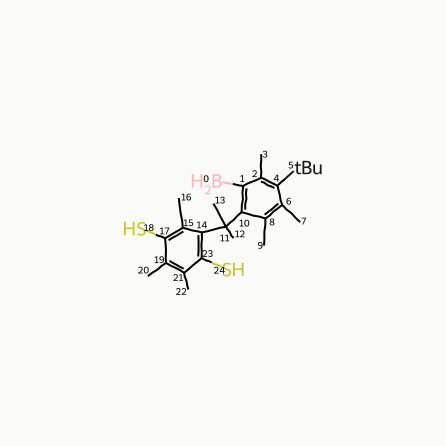 Bc1c(C)c(C(C)(C)C)c(C)c(C)c1C(C)(C)c1c(C)c(S)c(C)c(C)c1S